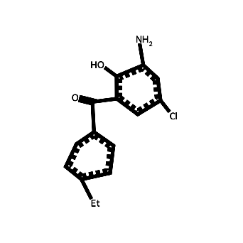 CCc1ccc(C(=O)c2cc(Cl)cc(N)c2O)cc1